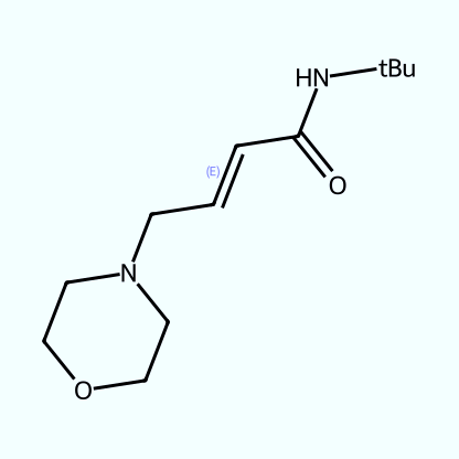 CC(C)(C)NC(=O)/C=C/CN1CCOCC1